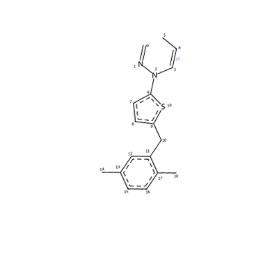 C=NN(/C=C\C)c1ccc(Cc2cc(C)ccc2C)s1